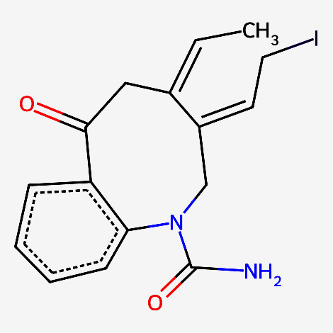 C/C=C1/CC(=O)c2ccccc2N(C(N)=O)C/C1=C/CI